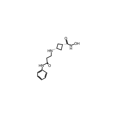 O=C(CCN[C@H]1C[C@@H](C(=O)NO)C1)Nc1ccccc1